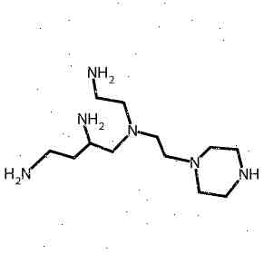 NCCC(N)CN(CCN)CCN1CCNCC1